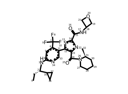 CC[C@H](Nc1cc(C(F)(F)F)c(-c2sc(C(=O)NC3COC3)nc2C(=O)N2CCCC[C@@H]2C)cn1)C1CC1